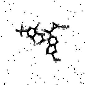 COc1ccc2c(c1)CCN(C(=O)C1C[C@H]1C(=O)O)[C@H]2C(=O)Nc1c(F)cc([Si](C)(C)C)cc1F